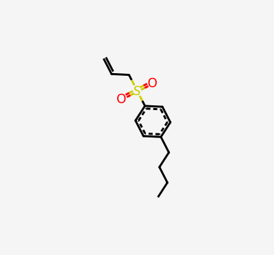 C=CCS(=O)(=O)c1ccc(CCCC)cc1